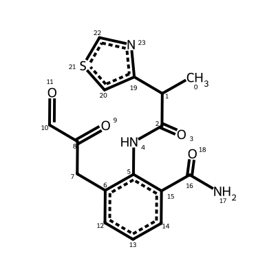 CC(C(=O)Nc1c(CC(=O)C=O)cccc1C(N)=O)c1cscn1